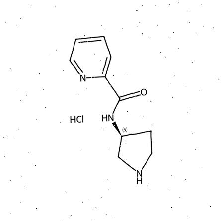 Cl.O=C(N[C@H]1CCNC1)c1ccccn1